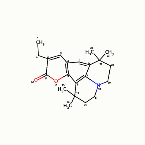 CCc1cc2cc3c4c(c2oc1=O)C(C)(C)CCN4CCC3(C)C